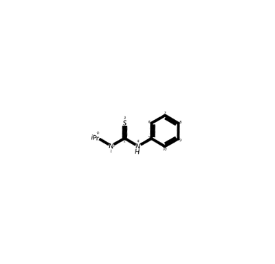 CC(C)[N]C(=S)Nc1ccccc1